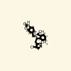 Cn1ncc(Cl)c1CC1c2ccccc2C(C)(C)N1Cc1ccc2[nH]c(=O)oc2c1